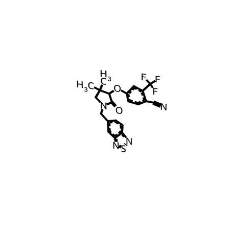 CC1(C)CN(Cc2ccc3nsnc3c2)C(=O)C1Oc1ccc(C#N)c(C(F)(F)F)c1